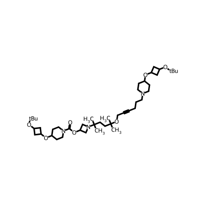 CC(C)(C)OC1CC(OC2CCN(CCCC#CCOC(C)(C)CCC(C)(C)N3CC(OC(=O)N4CCC(OC5CC(OC(C)(C)C)C5)CC4)C3)CC2)C1